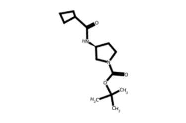 CC(C)(C)OC(=O)N1CC[C@H](NC(=O)C2CCC2)C1